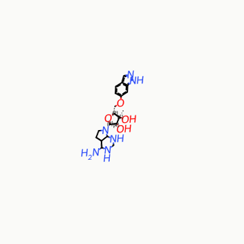 C[C@@]1(O)[C@@H](COc2ccc3cn[nH]c3c2)O[C@@H](N2CCC3C(N)NCNC32)[C@@H]1O